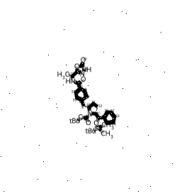 C[C@@H](NC(=O)c1ccc(C[C@@H]2CC[C@H]([C@H](O[Si](C)(C)C(C)(C)C)c3ccccc3)N2C(=O)OC(C)(C)C)cc1)c1n[nH]c(=O)o1